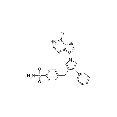 NS(=O)(=O)c1ccc(Cc2cn(-c3csc4c(=O)[nH]cnc34)nc2-c2ccccc2)cc1